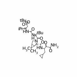 CC(C)[C@@H](CS(=O)(=O)C(C)(C)C)NC(=O)N[C@H](C(=O)N1CC2C([C@H]1C(=O)NC(CC1CC1)C(=O)C(N)=O)C2(C)C)C(C)(C)C